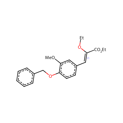 CCOC(=O)/C(=C/c1ccc(OCc2ccccc2)c(OC)c1)OCC